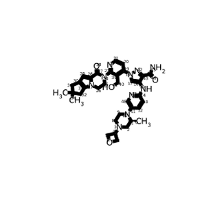 C[C@H]1CN(C2COC2)CCN1c1ccc(Nc2cn(-c3ccnc(N4CCn5c(cc6c5CC(C)(C)C6)C4=O)c3CO)nc2C(N)=O)nc1